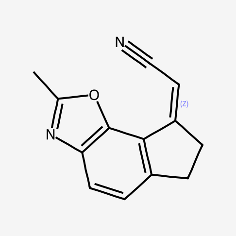 Cc1nc2ccc3c(c2o1)/C(=C\C#N)CC3